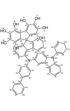 Oc1c(O)c(O)c2c(c1O)-c1c(O)c(O)c(O)c(O)c1C21C2=C(C=CCC2)c2c(N(c3ccc(-c4ccccc4)cc3)c3ccc4c(c3)c3ccccc3n4C3=CCCC=C3)cccc21